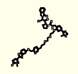 Cc1ncsc1-c1ccc(CNC(=O)[C@@H]2CCCN2C(=O)C(C(C)C)N2Cc3ccccc3C2=O)c(OCCOCCOCCCc2ccc(COc3ccc4oc(-c5ccc(=O)n(C)n5)nc4c3)nc2)c1